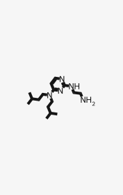 CC(C)CCN(CCC(C)C)c1ccnc(NCCN)n1